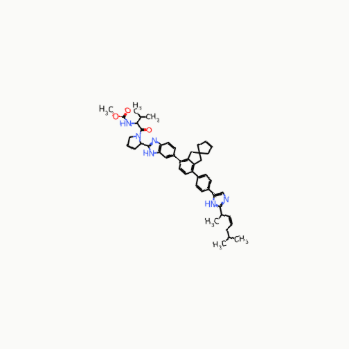 COC(=O)NC(C(=O)N1CCCC1c1nc2ccc(-c3ccc(-c4ccc(-c5cnc(C(C)/C=C\CC(C)C)[nH]5)cc4)c4c3CC3(CCCC3)C4)cc2[nH]1)C(C)C